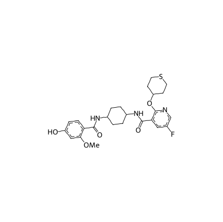 COc1cc(O)ccc1C(=O)NC1CCC(NC(=O)c2cc(F)cnc2OC2CCSCC2)CC1